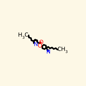 CCCCCCCC1(C#N)CCC(OC(=O)c2ccc(CCCCC)cn2)CC1